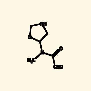 CN(C(=O)C=O)C1CNCO1